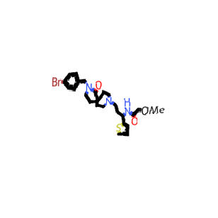 COCC(=O)NC(CCN1CCC2(CC1)CCN(Cc1ccc(Br)cc1)C2=O)c1cccs1